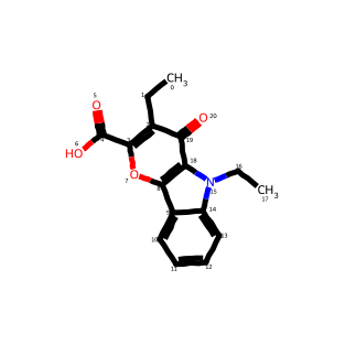 CCc1c(C(=O)O)oc2c3ccccc3n(CC)c2c1=O